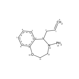 C=CCC1c2ccccc2OCCN1P